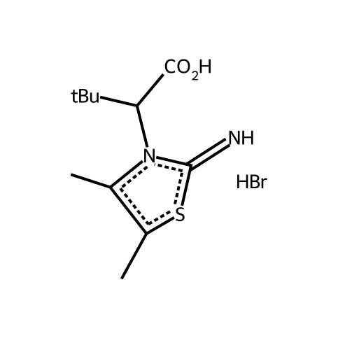 Br.Cc1sc(=N)n(C(C(=O)O)C(C)(C)C)c1C